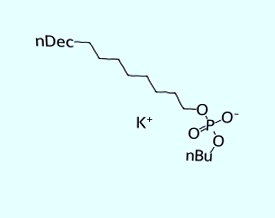 CCCCCCCCCCCCCCCCCCOP(=O)([O-])OCCCC.[K+]